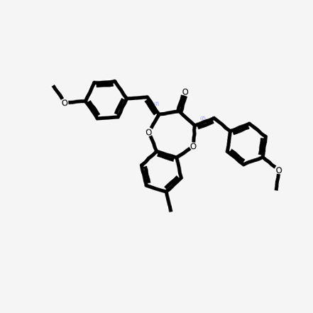 COc1ccc(/C=C2\Oc3ccc(C)cc3O/C(=C\c3ccc(OC)cc3)C2=O)cc1